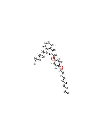 CCCCCCCCCCOc1ccc(OCCCC2CCCCC2CCCCCCC)cc1